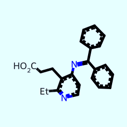 CCc1nccc(N=C(c2ccccc2)c2ccccc2)c1CCC(=O)O